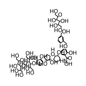 O=C(CO)C(O)C(O)C(O)CO.O=C(NO)c1ccccc1O.OC1CCCCC1O.OCC(O)C(O)C(O)C(O)CO.OCC(O)C(O)C(O)C(O)CO.OCc1cccc(CO)c1.O[C@@H]1CCC[C@@H]1O.Oc1ccccc1O